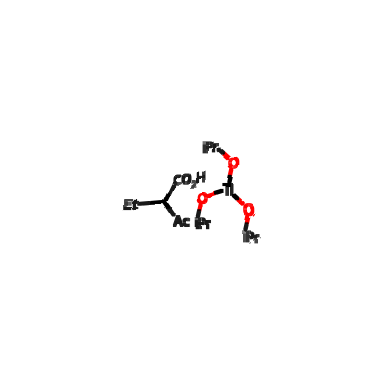 CC(C)[O][Ti]([O]C(C)C)[O]C(C)C.CCC(C(C)=O)C(=O)O